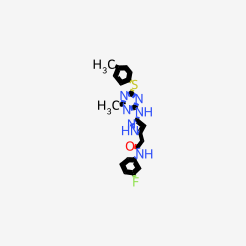 Cc1ccc(Sc2nc(C)nc(Nc3cc(CC(=O)Nc4cccc(F)c4)[nH]n3)n2)cc1